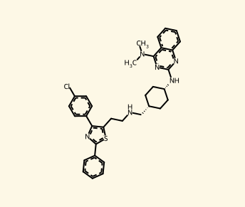 CN(C)c1nc(N[C@H]2CC[C@@H](CNCCc3sc(-c4ccccc4)nc3-c3ccc(Cl)cc3)CC2)nc2ccccc12